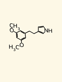 COc1cc(CCc2cc[nH]c2)cc(OC)c1